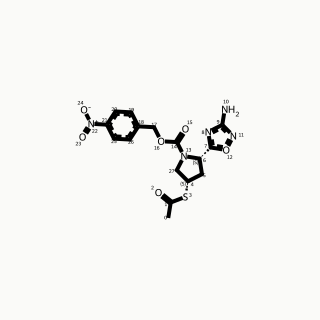 CC(=O)S[C@H]1C[C@@H](c2nc(N)no2)N(C(=O)OCc2ccc([N+](=O)[O-])cc2)C1